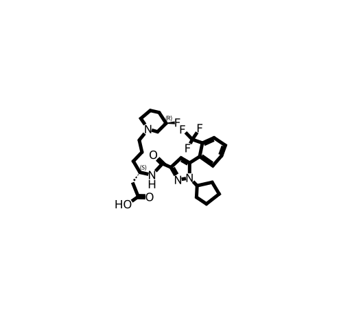 O=C(O)C[C@H](CCCN1CCC[C@@H](F)C1)NC(=O)c1cc(-c2ccccc2C(F)(F)F)n(C2CCCC2)n1